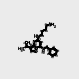 CC(C)c1cnn2c(NCc3ccccc3)cc(NCCCCN)nc12